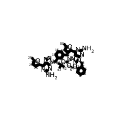 COc1ccccc1CN1NN(N(Cc2cccc(Cn3nnc4c(-c5ccc(C)o5)nc(N)nc43)c2)C(=O)OC(C)(C)C)c2c(-c3ccc(C)o3)nc(N)nc21